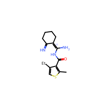 CCc1csc(C)c1C(=O)N/C(N)=C1/CCCCC1=N